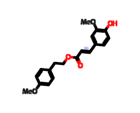 COc1ccc(CCOC(=O)/C=C/c2ccc(O)c(OC)c2)cc1